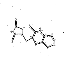 O=C1NC(=O)C(Cc2cc3ccccc3[nH]c2=O)S1